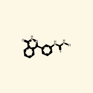 CCNC(=S)Nc1cccc(-c2n[nH]c(=O)c3ccccc23)c1